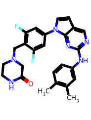 Cc1ccc(Nc2ncc3ccn(-c4cc(F)c(CN5CCNC(=O)C5)c(F)c4)c3n2)cc1C